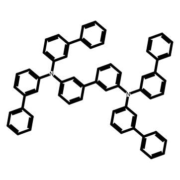 c1ccc(-c2cccc(N(c3cccc(-c4ccccc4)c3)c3cccc(-c4cccc(N(c5cccc(-c6ccccc6)c5)c5cccc(-c6ccccc6)c5)c4)c3)c2)cc1